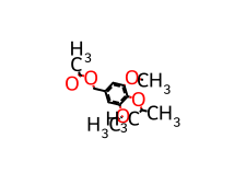 COc1cc(COC(C)=O)cc(OC)c1OC(C)C